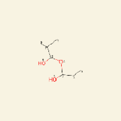 CCC(O)OC(O)C(C)C